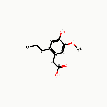 CCCc1cc(O)c(OC)cc1CC(=O)O